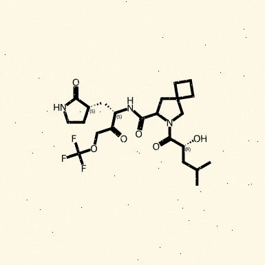 CC(C)C[C@@H](O)C(=O)N1CC2(CCC2)CC1C(=O)N[C@@H](C[C@@H]1CCNC1=O)C(=O)COC(F)(F)F